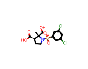 CC1(C(=O)O)[C@H](C(=O)O)CCN1S(=O)(=O)c1cc(Cl)cc(Cl)c1